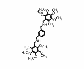 COc1c(C)c(CNCc2cccc(CNCc3c(C)c(OC)c(OC)c(OC)c3OC)c2)c(OC)c(OC)c1OC